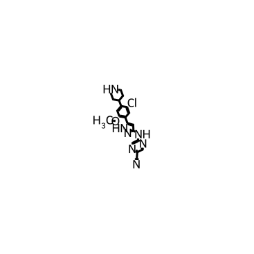 COc1cc(C2CCNCC2)c(Cl)cc1-c1cc(Nc2cnc(C#N)cn2)n[nH]1